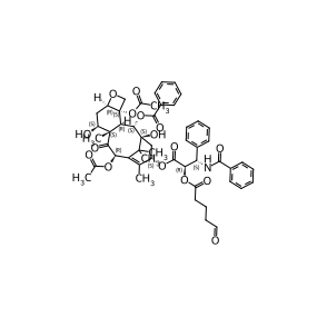 CC(=O)O[C@H]1C(=O)[C@@]2(C)[C@H]([C@H](OC(=O)c3ccccc3)[C@]3(O)C[C@H](OC(=O)[C@H](OC(=O)CCCC=O)[C@@H](NC(=O)c4ccccc4)c4ccccc4)C(C)=C1C3(C)C)[C@]1(OC(C)=O)CO[C@@H]1C[C@@H]2O